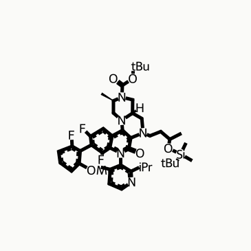 COc1cccc(F)c1-c1c(F)cc2c3c(c(=O)n(-c4c(C)ccnc4C(C)C)c2c1F)N(CCC(C)O[Si](C)(C)C(C)(C)C)C[C@H]1CN(C(=O)OC(C)(C)C)[C@H](C)CN31